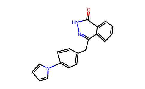 O=c1[nH]nc(Cc2ccc(-n3cccc3)cc2)c2ccccc12